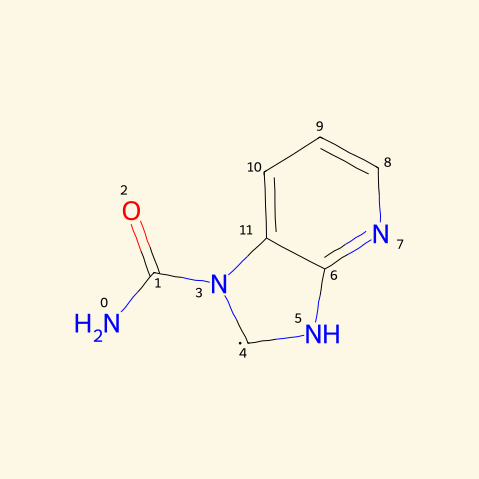 NC(=O)N1[CH]Nc2ncccc21